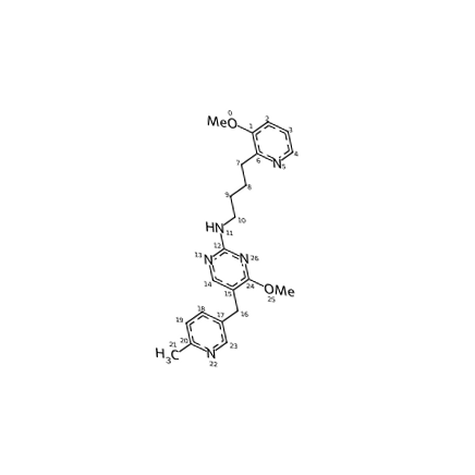 COc1cccnc1CCCCNc1ncc(Cc2ccc(C)nc2)c(OC)n1